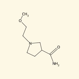 COCCN1CCC(C(N)=O)C1